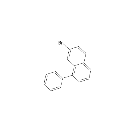 Brc1ccc2cccc(-c3ccccc3)c2c1